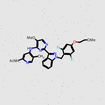 COCCOc1cc(F)c(Cn2nc(-c3ncc(OC)c(Nc4cc(NC(C)=O)ncc4C)n3)c3ccccc32)c(F)c1